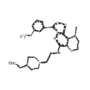 CN1CCOc2c(NCCN3CCN(CC=O)CC3)nn3c(-c4cccc(OC(F)(F)F)c4)nnc3c21